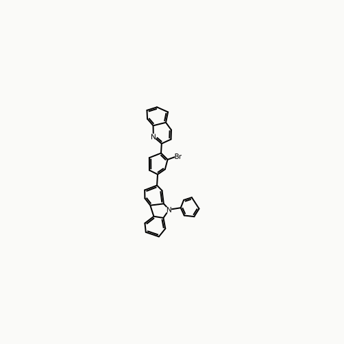 Brc1cc(-c2ccc3c4ccccc4n(-c4ccccc4)c3c2)ccc1-c1ccc2ccccc2n1